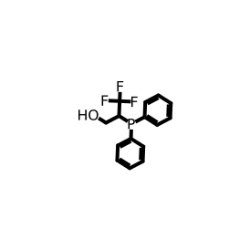 OCC(P(c1ccccc1)c1ccccc1)C(F)(F)F